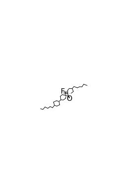 CCCCCCC1CCC(C2CC[C@]3(CC2)C(=O)[C@@]2(CCC(CCCCCC)CC2)[C@H]3F)CC1